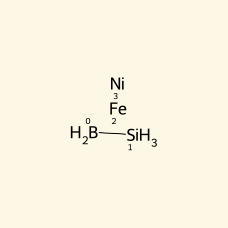 B[SiH3].[Fe].[Ni]